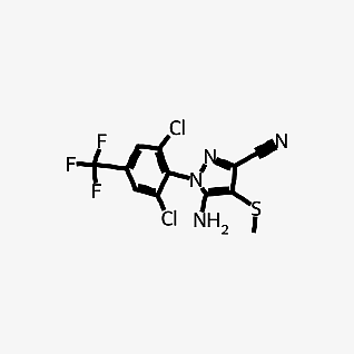 CSc1c(C#N)nn(-c2c(Cl)cc(C(F)(F)F)cc2Cl)c1N